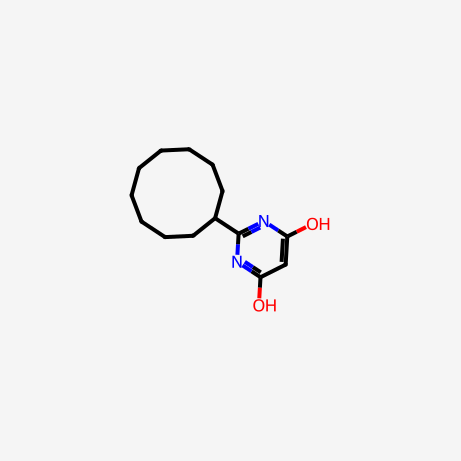 Oc1cc(O)nc(C2CCCCCCCCC2)n1